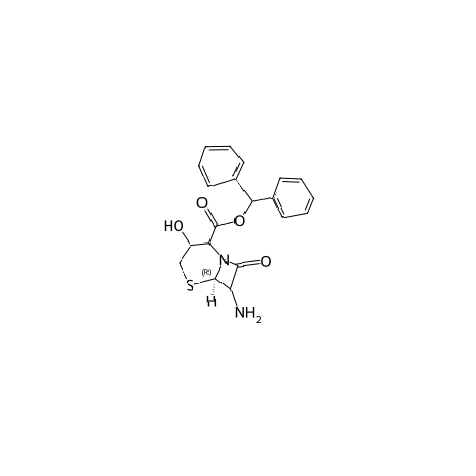 NC1C(=O)N2C(C(=O)OC(c3ccccc3)c3ccccc3)C(O)CS[C@H]12